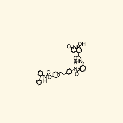 O=C(Nc1ccccc1-c1ccccc1)OC1CCN(CCc2ccc(NC(=O)c3cccc(CNC[C@@H](O)c4ccc(O)c5[nH]c(=O)ccc45)c3)cc2)CC1